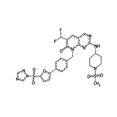 CS(=O)(=O)N1CCC(Nc2ncc3cc(C(F)F)c(=O)n(Cc4ccc(-c5ccc(S(=O)(=O)n6cncn6)o5)cc4)c3n2)CC1